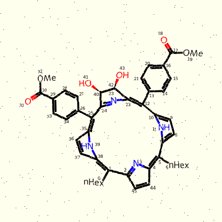 CCCCCCc1c2nc(c(CCCCCC)c3ccc([nH]3)c(-c3ccc(C(=O)OC)cc3)c3nc(c(-c4ccc(C(=O)OC)cc4)c4ccc1[nH]4)[C@@H](O)[C@H]3O)C=C2